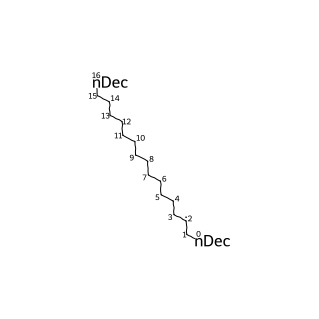 CCCCCCCCCCC[CH]CCCCCCCCCCCCCCCCCCCCCCC